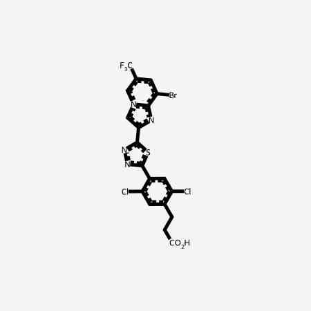 O=C(O)CCc1cc(Cl)c(-c2nnc(-c3cn4cc(C(F)(F)F)cc(Br)c4n3)s2)cc1Cl